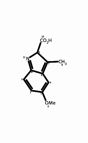 COc1ccc2c(c1)=C(C)C(C(=O)O)N=2